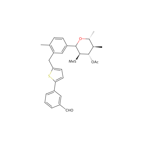 CS[C@H]1C(c2ccc(C)c(Cc3ccc(-c4cccc(C=O)c4)s3)c2)O[C@H](C)[C@@H](C)[C@@H]1OC(C)=O